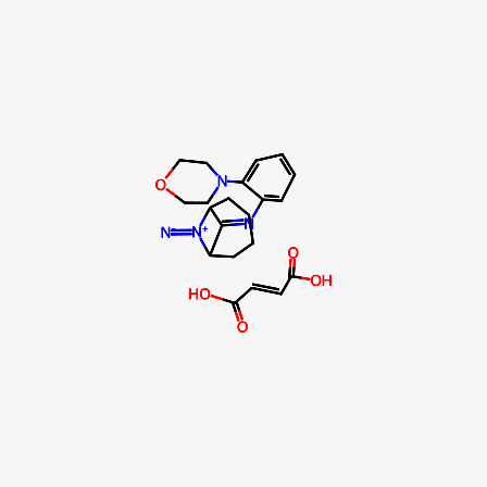 O=C(O)/C=C/C(=O)O.[N-]=[N+]1C2CCCCC1C2=Nc1ccccc1N1CCOCC1